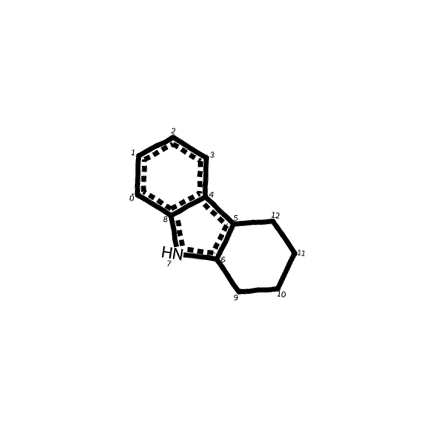 [c]1cccc2c3c([nH]c12)CCCC3